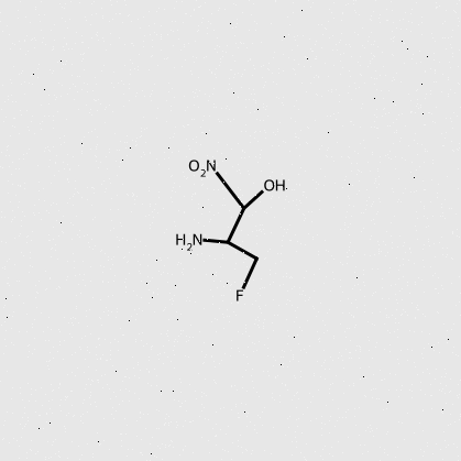 NC(CF)C(O)[N+](=O)[O-]